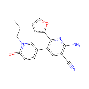 CCCn1cc(-c2cc(C#N)c(N)nc2-c2ccco2)ccc1=O